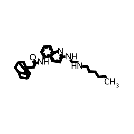 CCCCCCNCCNc1ccc2c(NC(=O)CC34CC5CC(CC(C5)C3)C4)cccc2n1